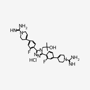 CC(C)(O)Cn1c(-c2ccc(C3=CCN(C(=N)N)CC3)cc2F)nnc1-c1ccc(C2=CCN(C(=N)N)CC2)cc1F.Cl